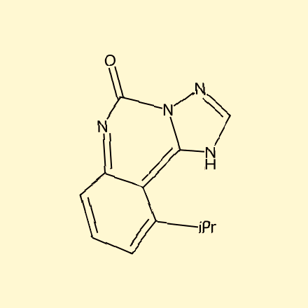 CC(C)c1cccc2nc(=O)n3nc[nH]c3c12